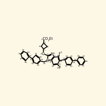 CCOC(=O)C1CC(Oc2nc3c(F)c(-c4ccc(-c5ccccc5)cc4)c(F)cc3n2Cc2ccc(-c3ccccc3)cc2)C1